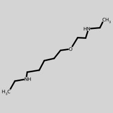 CCNCCCCCOCCNCC